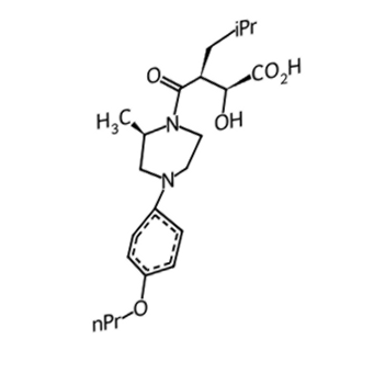 CCCOc1ccc(N2CCN(C(=O)[C@@H](CC(C)C)[C@H](O)C(=O)O)[C@H](C)C2)cc1